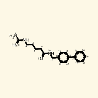 N=C(N)NCCCCC(=O)NCc1ccc(-c2ccccc2)cc1